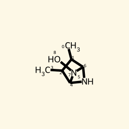 CC1C(C)C2NC1N2O